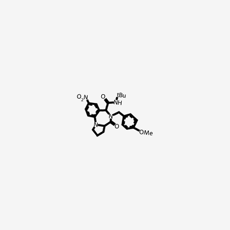 COc1ccc(CN2C(=O)C3CCCN3c3ccc([N+](=O)[O-])cc3C2C(=O)NC(C)(C)C)cc1